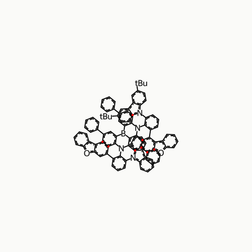 CC(C)(C)c1ccc2c(c1)c1cc(C(C)(C)C)ccc1n2-c1cccc(-c2cccc3oc4ccccc4c23)c1N1c2ccc(-c3ccccc3)cc2B2c3cc(-c4ccccc4)ccc3N(c3c(-c4ccc5c(c4)oc4ccccc45)cccc3-n3c4ccccc4c4ccccc43)c3cc(-c4ccccc4)cc1c32